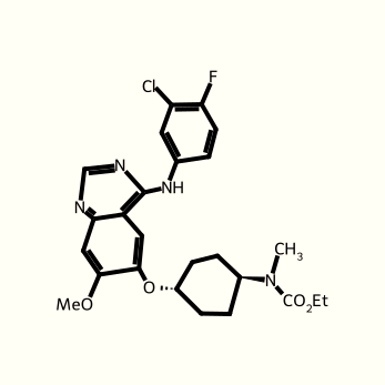 CCOC(=O)N(C)[C@H]1CC[C@H](Oc2cc3c(Nc4ccc(F)c(Cl)c4)ncnc3cc2OC)CC1